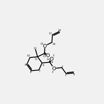 C=CCOC(=O)C1CC=CCC1(C)C(=O)OCC=C